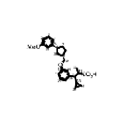 COc1cccc([C@H]2CC[C@@H](COc3cccc(C(C4CC4)C(C)C(=O)O)c3)C2)c1